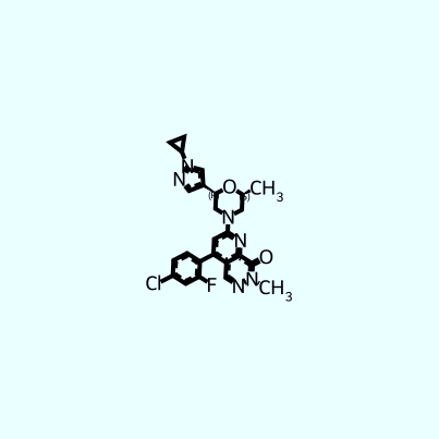 C[C@H]1CN(c2cc(-c3ccc(Cl)cc3F)c3cnn(C)c(=O)c3n2)C[C@@H](c2cnn(C3CC3)c2)O1